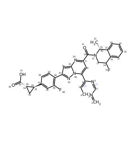 C=N/C=N\C(=C/C)c1cc(C(=O)N2CC(F)c3ccccc3[C@H]2C)nc2cc(-c3ccc([C@H]4C[C@@H]4C(=O)O)cc3F)nn12